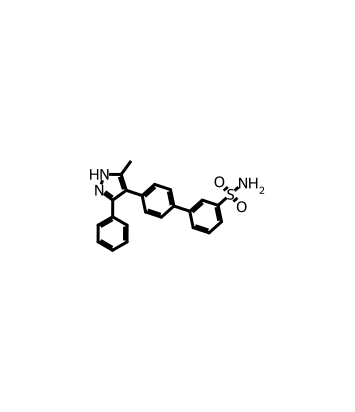 Cc1[nH]nc(-c2ccccc2)c1-c1ccc(-c2cccc(S(N)(=O)=O)c2)cc1